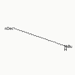 [CH2]CCCNCCCCCCCCCCCCCCCCCCCCCCCCCCCCCCCCCCCCCCCCCCCCCCCCCCCCC